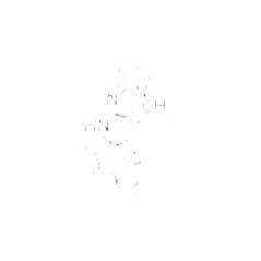 CN1CCCC1=NC(=S)Nc1ccc2ccccc2c1